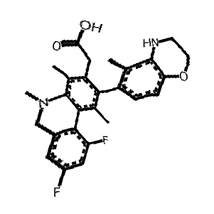 Cc1c(-c2c(C)c3c(c(C)c2CC(=O)O)N(C)Cc2cc(F)cc(F)c2-3)ccc2c1NCCO2